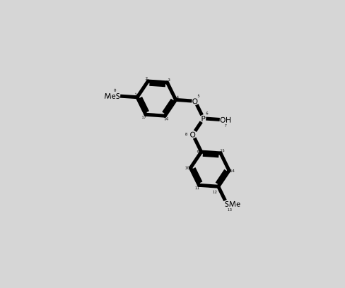 CSc1ccc(OP(O)Oc2ccc(SC)cc2)cc1